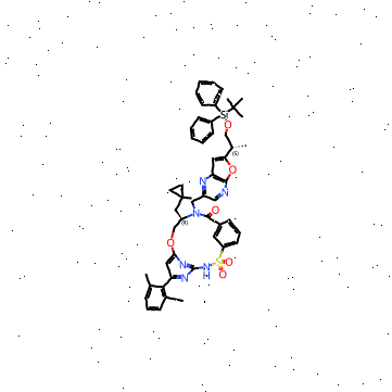 Cc1cccc(C)c1-c1cc2nc(n1)NS(=O)(=O)c1cccc(c1)C(=O)N(Cc1cnc3oc([C@@H](C)CO[Si](c4ccccc4)(c4ccccc4)C(C)(C)C)cc3n1)[C@H](CC1(C)CC1)CO2